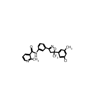 Cc1cc(Cl)cc(C2(C(F)(F)F)CC(c3cccc(NC(=O)c4cccnc4C)c3)=NO2)c1